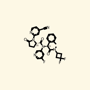 Cc1ccccc1[C@@H](C(=O)N(C)C1CC(F)(F)C1)N(C(=O)[C@@H]1CCC(=O)N1c1cc(C#N)ccn1)c1cncc(F)c1